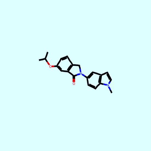 CC(C)Oc1ccc2c(c1)C(=O)N(c1ccc3c(ccn3C)c1)C2